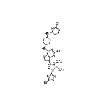 CCn1nnc([C@H]2O[C@@H](n3cnc4c(N[C@H]5CC[C@H](Nc6ccnc(Cl)n6)CC5)nc(Cl)nc43)[C@H](OC(C)=O)[C@@H]2OC(C)=O)n1